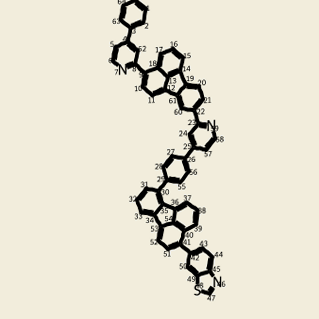 c1ccc(-c2ccnc(-c3ccc4c5c(cccc35)-c3ccc(-c5cc(-c6ccc(-c7cccc8c7-c7cccc9c(-c%10ccc%11ncsc%11c%10)ccc-8c79)cc6)ccn5)cc3-4)c2)cc1